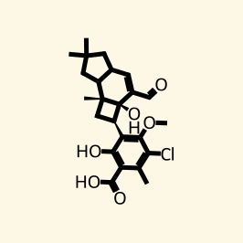 COc1c(Cl)c(C)c(C(=O)O)c(O)c1[C@H]1C[C@]2(C)C3CC(C)(C)CC3C=C(C=O)[C@]12O